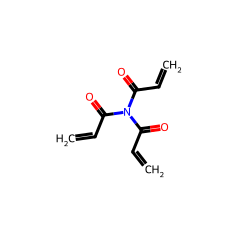 C=CC(=O)N(C(=O)C=C)C(=O)C=C